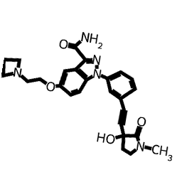 CN1CCC(O)(C#Cc2cccc(-n3nc(C(N)=O)c4cc(OCCN5CCC5)ccc43)c2)C1=O